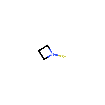 SN1CCC1